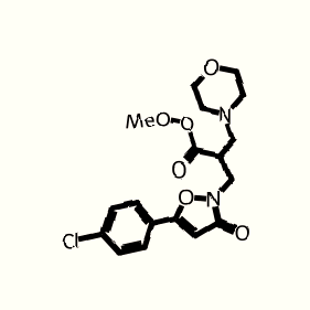 COOC(=O)C(CN1CCOCC1)Cn1oc(-c2ccc(Cl)cc2)cc1=O